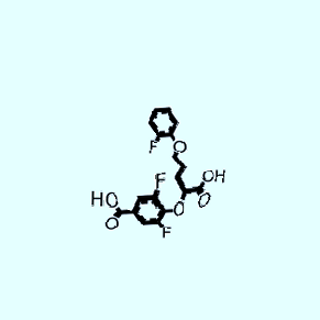 O=C(O)c1cc(F)c(OC(CCCOc2ccccc2F)C(=O)O)c(F)c1